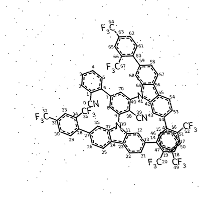 N#Cc1ccccc1-c1cc(-n2c3cc(-c4ccccc4C(F)(F)F)ccc3c3ccc(-c4ccc(C(F)(F)F)cc4C(F)(F)F)cc32)c(C#N)c(-n2c3cc(-c4ccc(C(F)(F)F)cc4C(F)(F)F)ccc3c3ccc(-c4ccc(C(F)(F)F)cc4C(F)(F)F)cc32)c1